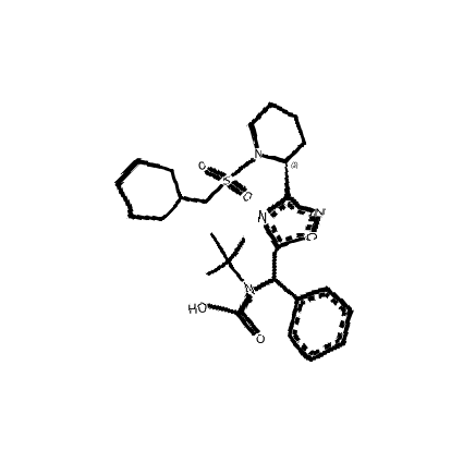 CC(C)(C)N(C(=O)O)C(c1ccccc1)c1nc([C@@H]2CCCCN2S(=O)(=O)CC2CCCCC2)no1